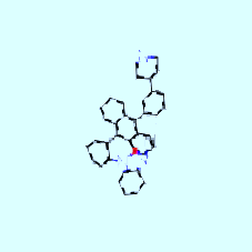 Cc1nc2ccccc2n1-c1ccccc1-c1c2ccccc2c(-c2cccc(-c3ccncc3)c2)c2ccccc12